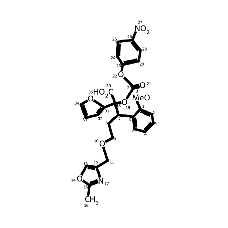 COc1ccccc1C(CCOCc1coc(C)n1)C(OC(=O)Oc1ccc([N+](=O)[O-])cc1)(C(=O)O)c1ccco1